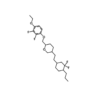 CCCC1CCC(CCC2CCC(COc3ccc(OCC)c(F)c3F)OC2)CC1(F)F